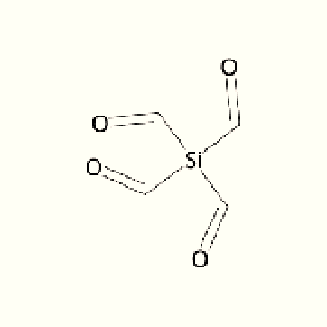 O=C[Si](C=O)(C=O)C=O